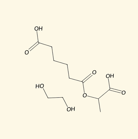 CC(OC(=O)CCCCC(=O)O)C(=O)O.OCCO